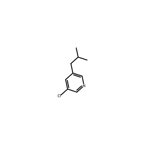 CC(C)Cc1cncc(Cl)c1